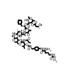 C=C(C(=O)N[C@@H](C)C(=O)N(C)[C@@H](C)C(=O)N[C@H](C(=O)NC)[C@H](OC(=O)[C@@H](NC(=O)CC)[C@H](OPOCc1ccc(NC(=O)[C@@H](N)CCCNC(N)=O)cc1)C(C)C)C(C)C)N(C)C(=O)[C@@H](Cc1ccccc1)OC(=O)[C@@H](NC(C)=O)[C@H](OC(=O)C[C@@H](C)OC)C(C)C